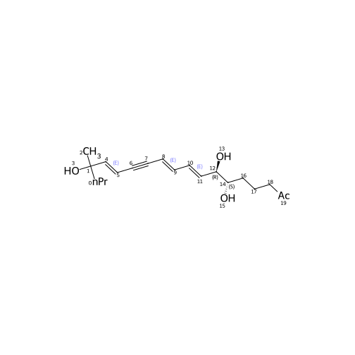 CCCC(C)(O)/C=C/C#C/C=C/C=C/[C@@H](O)[C@@H](O)CCCC(C)=O